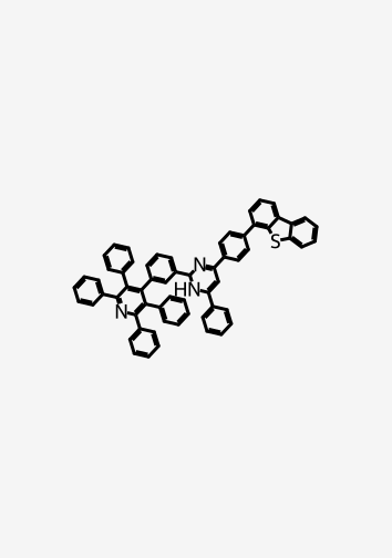 C1=C(c2ccccc2)NC(c2cccc(-c3c(-c4ccccc4)c(-c4ccccc4)nc(-c4ccccc4)c3-c3ccccc3)c2)N=C1c1ccc(-c2cccc3c2sc2ccccc23)cc1